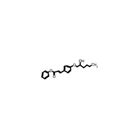 CCCCC(O)COc1ccc(C=CC(=O)Oc2ccccc2)cc1